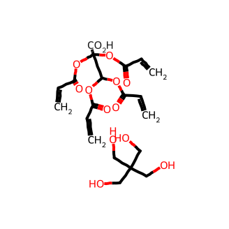 C=CC(=O)OC(OC(=O)C=C)C(OC(=O)C=C)(OC(=O)C=C)C(=O)O.OCC(CO)(CO)CO